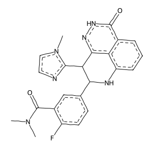 CN(C)C(=O)c1cc(C2Nc3cccc4c(=O)[nH]nc(c34)C2c2nccn2C)ccc1F